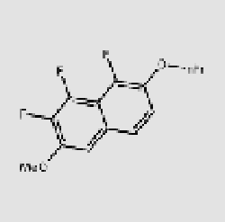 CCCOc1ccc2cc(OC)c(F)c(F)c2c1F